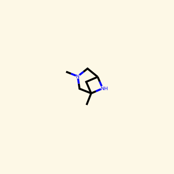 CN1CC2CC(C)(C1)N2